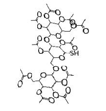 CC(=O)OCC1OC(OCC2OC(S)C(OC(C)=O)C(OC3OC(COC(C)=O)C(OC(C)=O)C(OC(C)=O)C3OC(C)=O)C2OC(C)=O)C(OC(C)=O)C(OC(C)=O)C1OC(C)=O